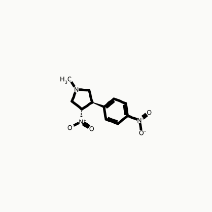 CN1C[C@@H]([N+](=O)[O-])[C@H](c2ccc([N+](=O)[O-])cc2)C1